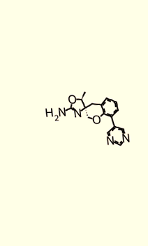 C[C@@H]1OC(N)=N[C@@]12COc1c(cccc1-c1cncnc1)C2